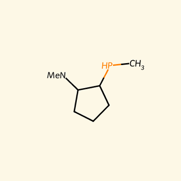 CNC1CCCC1PC